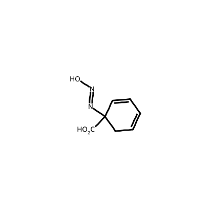 O=C(O)C1(N=NO)C=CC=CC1